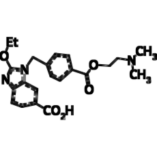 CCOc1nc2ccc(C(=O)O)cc2n1Cc1ccc(C(=O)OCCN(C)C)cc1